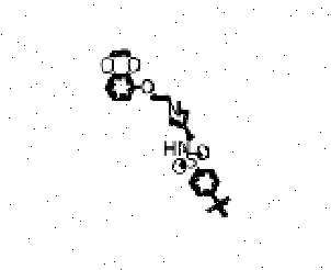 CC(C)(C)c1ccc(S(=O)(=O)NCC2CN(CCOc3cccc4c3OCCO4)C2)cc1